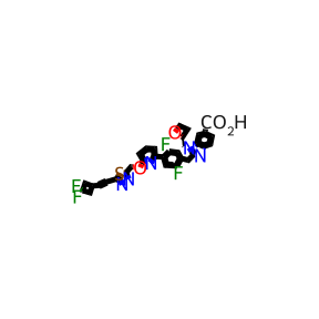 O=C(O)c1ccc2nc(Cc3cc(F)c(-c4cccc(OCc5nnc(C#CC6CC(F)(F)C6)s5)n4)cc3F)n(C[C@@H]3CCO3)c2c1